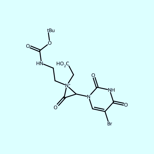 CC(C)(C)OC(=O)NCC[N+]1(CC(=O)O)C(=O)C1n1cc(Br)c(=O)[nH]c1=O